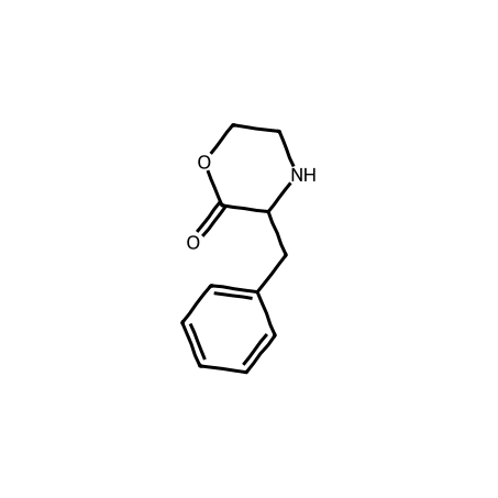 O=C1OCCNC1Cc1ccccc1